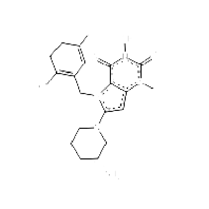 Cn1c(=O)c2c(cc(N3CCC[C@@H](N)C3)n2CC2=C(Cl)CCC(F)=C2)n(C)c1=O